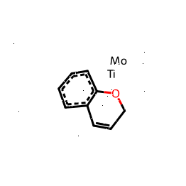 C1=Cc2ccccc2OC1.[Mo].[Ti]